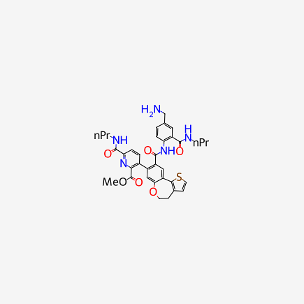 CCCNC(=O)c1ccc(-c2cc3c(cc2C(=O)Nc2ccc(CN)cc2C(=O)NCCC)-c2sccc2CCO3)c(C(=O)OC)n1